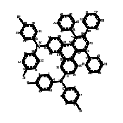 Cc1ccc(N(c2ccc(C)cc2)c2ccc3c(c2)c2cc(N(c4ccc(C)cc4)c4ccc(C)cc4)ccc2c2c(-c4ccccc4)c(-c4ccccc4)cc(-c4ccccc4)c32)cc1